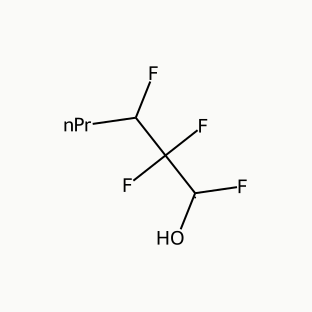 CCCC(F)C(F)(F)[C](O)F